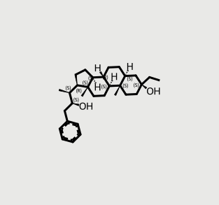 CC[C@]1(O)CC[C@@]2(C)[C@@H](CC[C@@H]3[C@@H]2CC[C@]2(C)[C@@H]([C@H](C)[C@@H](O)Cc4ccccc4)CC[C@@H]32)C1